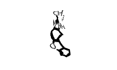 Cc1nc2cc3oc4ccccc4c3cc2[nH]1